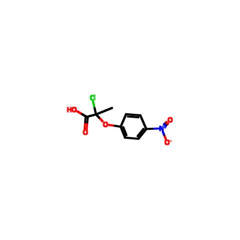 CC(Cl)(Oc1ccc([N+](=O)[O-])cc1)C(=O)O